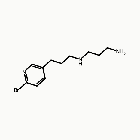 NCCCNCCCc1ccc(Br)nc1